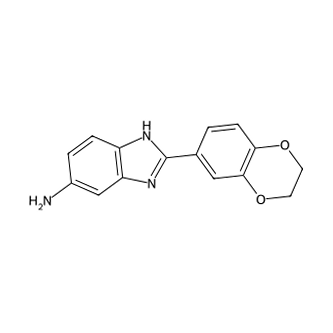 Nc1ccc2[nH]c(-c3ccc4c(c3)OCCO4)nc2c1